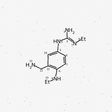 CCN=C(N)Nc1ccc(NCC)c(CN)c1